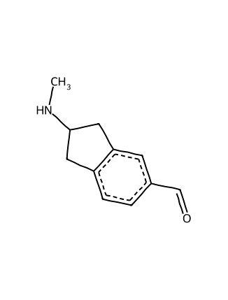 CNC1Cc2ccc(C=O)cc2C1